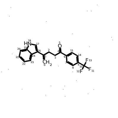 C=C(CCC(=O)c1ccc(C(F)(F)F)cc1)c1c[nH]c2ccccc12